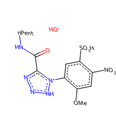 CCCCCNC(=O)c1nn[nH][n+]1-c1cc(S(=O)(=O)O)c([N+](=O)[O-])cc1OC.[OH-]